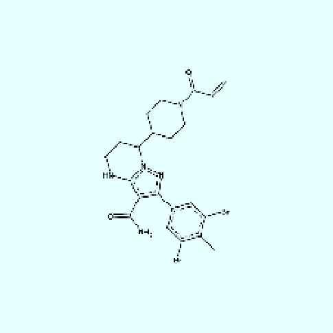 C=CC(=O)N1CCC(C2CCNc3c(C(N)=O)c(-c4cc(Br)c(C)c(Br)c4)nn32)CC1